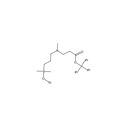 CCO[Si](C)(C)CCCN(C)CCC(=O)O[Si](C(C)C)(C(C)C)C(C)C